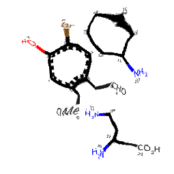 COc1cc(O)c(Br)cc1C=O.NC1CCCCC1.NCC(N)C(=O)O